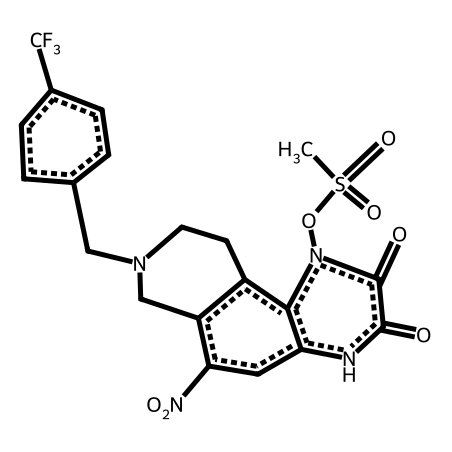 CS(=O)(=O)On1c(=O)c(=O)[nH]c2cc([N+](=O)[O-])c3c(c21)CCN(Cc1ccc(C(F)(F)F)cc1)C3